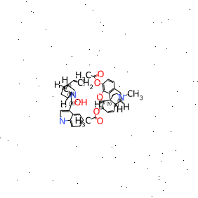 C=C[C@H]1C[N@]2CC[C@H]1C[C@H]2[C@H](O)c1ccnc2ccccc12.CC(=O)Oc1ccc2c3c1O[C@H]1[C@@H](OC(C)=O)C=C[C@H]4[C@@H](C2)N(C)CC[C@@]341